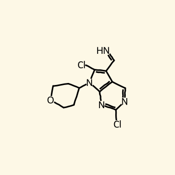 N=Cc1c(Cl)n(C2CCOCC2)c2nc(Cl)ncc12